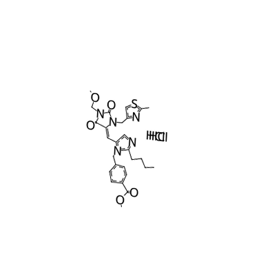 CCCCc1ncc(C=C2C(=O)N(COC)C(=O)N2Cc2csc(C)n2)n1Cc1ccc(C(=O)OC)cc1.Cl.Cl